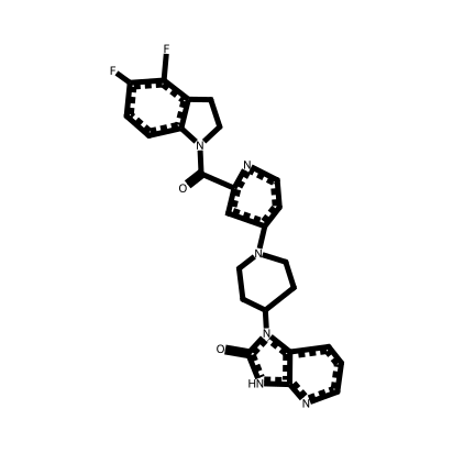 O=C(c1cc(N2CCC(n3c(=O)[nH]c4ncccc43)CC2)ccn1)N1CCc2c1ccc(F)c2F